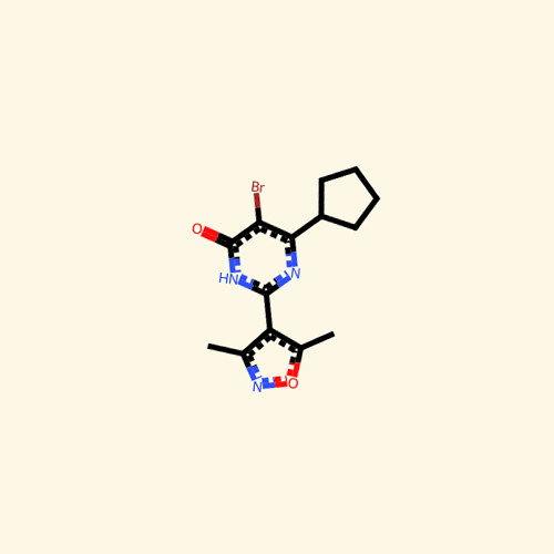 Cc1noc(C)c1-c1nc(C2CCCC2)c(Br)c(=O)[nH]1